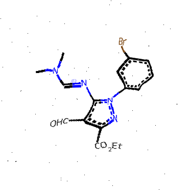 CCOC(=O)c1nn(-c2cccc(Br)c2)c(/N=C/N(C)C)c1C=O